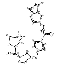 O=C(NCc1ccn2ccnc2c1)c1ccc(O[C@H]2CCN(C(=O)C3CCOCC3)C2)cc1